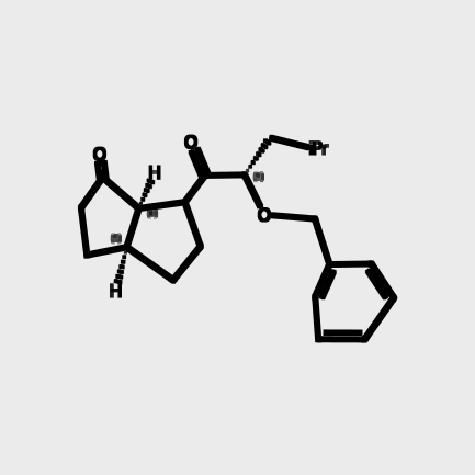 CC(C)C[C@H](OCc1ccccc1)C(=O)C1CC[C@H]2CCC(=O)[C@@H]12